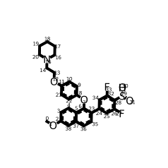 COc1ccc2c(Oc3ccc(OCCN4CCCCC4)cc3)c(-c3cc(F)c([SH](=O)=O)c(F)c3)ccc2c1